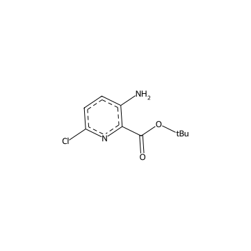 CC(C)(C)OC(=O)c1nc(Cl)ccc1N